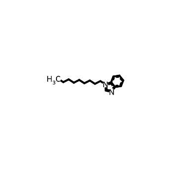 CCCCCCCCCn1cnc2ccccc21